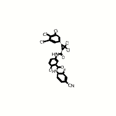 N#Cc1ccc(NC(=O)c2cc(NC(=O)[C@H]3[C@H](c4cc(Cl)c(Cl)c(Cl)c4)C3(Cl)Cl)ccc2Cl)c(F)c1